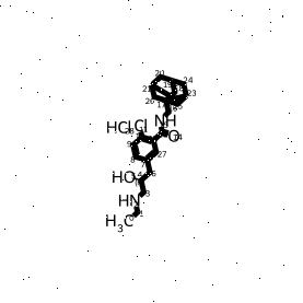 CCNC[C@H](O)Cc1ccc(Cl)c(C(=O)NCC23CC4CC(CC(C4)C2)C3)c1.Cl